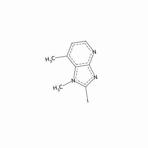 Cc1ccnc2nc(I)n(C)c12